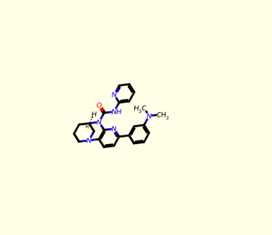 CN(C)c1cccc(-c2ccc3c(n2)N(C(=O)Nc2ccccn2)[C@@H]2CCCN3C2)c1